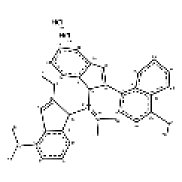 CCC1=Cc2c(C(C)C)cccc2[CH]1[Ti]([CH]1C(c2ccc(CC)c3ccccc23)=Cc2ccccc21)=[Si](C)C.Cl.Cl